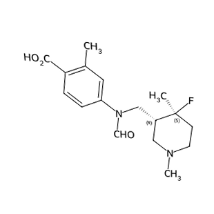 Cc1cc(N(C=O)C[C@H]2CN(C)CC[C@]2(C)F)ccc1C(=O)O